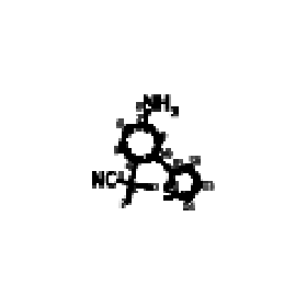 CC(C)(C#N)c1ccc(N)cc1-c1cccs1